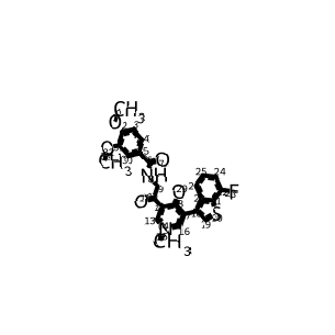 COc1ccc(C(=O)NCC(=O)c2cn(C)cc(-c3csc4c(F)cccc34)c2=O)cc1OC